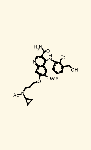 CCc1c(CO)cccc1Nc1c(C(N)=O)cnc2cc(OCCCN(C(C)=O)C3CC3)c(OC)cc12